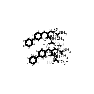 CC(NC(=O)C(Cc1ccc(-c2ccccc2)cc1)CP(=O)(O)C(C)N)C(=O)O.CC(NC(=O)C(Cc1ccc(-c2ccccc2)cc1)CP(=O)(O)C(C)N)C(=O)O